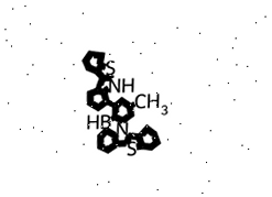 Cc1cc(-c2cccc3c2[nH]c2sc4ccccc4c23)c2c(c1)-n1c3c(cccc3c3sc4ccccc4c31)B2